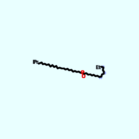 CC/C=C\C/C=C\C/C=C\CCCCCCCC(=O)OCCCCCCCCCCCCCCCCCCCCCCCC(C)C